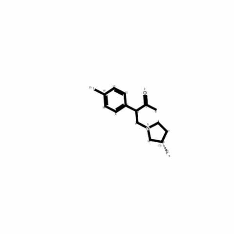 CC(=O)C(CN1CC[C@H](F)C1)c1ccc(I)cc1